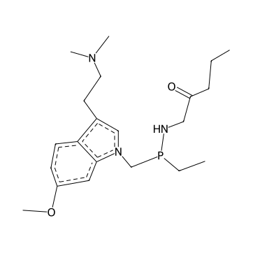 CCCC(=O)CNP(CC)Cn1cc(CCN(C)C)c2ccc(OC)cc21